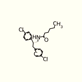 CCCCCC(=O)NC[C@H](Cc1ccc(Cl)cc1)c1ccc(Cl)cc1